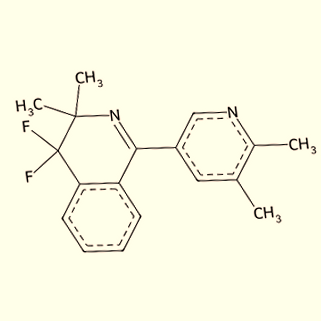 Cc1cc(C2=NC(C)(C)C(F)(F)c3ccccc32)cnc1C